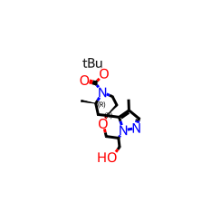 Cc1cnn2c1[C@]1(CCN(C(=O)OC(C)(C)C)[C@H](C)C1)OCC2CO